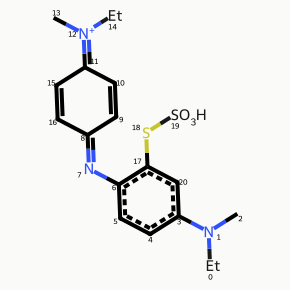 CCN(C)c1ccc(N=C2C=CC(=[N+](C)CC)C=C2)c(SS(=O)(=O)O)c1